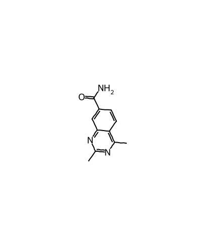 Cc1nc(C)c2ccc(C(N)=O)cc2n1